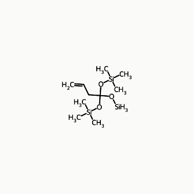 C=CCC(O[SiH3])(O[Si](C)(C)C)O[Si](C)(C)C